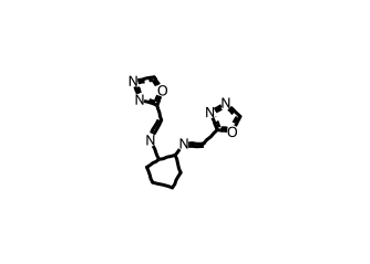 C(=NC1CCCCC1N=Cc1nnco1)c1nnco1